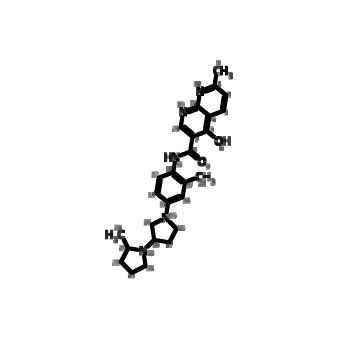 Cc1ccc2c(O)c(C(=O)Nc3ccc(N4CCC(N5CCCC5C)C4)cc3C)cnc2n1